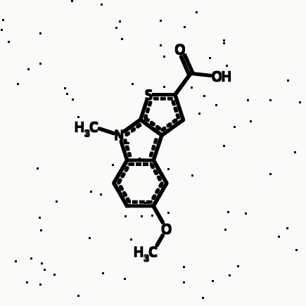 COc1ccc2c(c1)c1cc(C(=O)O)sc1n2C